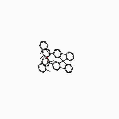 Cc1ccccc1N(c1ccc2c(c1)C1(c3ccccc3-2)c2ccccc2-c2ccc(N(c3ccccc3C)c3ccccc3C)cc21)c1ccccc1C